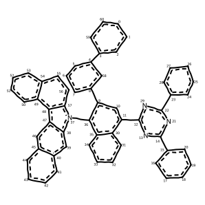 c1ccc(-c2cccc(-c3cc(-c4nc(-c5ccccc5)nc(-c5ccccc5)n4)c4ccccc4c3-n3c4cc5ccccc5cc4c4c5ccccc5ccc43)c2)cc1